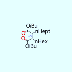 CCCCCCC/C(C(=O)OCC(C)C)=C(\CCCCCC)C(=O)OCC(C)C